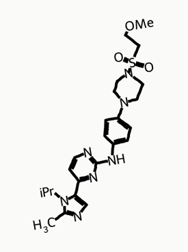 COCCS(=O)(=O)N1CCN(c2ccc(Nc3nccc(-c4cnc(C)n4C(C)C)n3)cc2)CC1